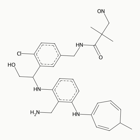 CC1C=CC=C(Nc2cccc(NC(CO)c3cc(CNC(=O)C(C)(C)CN=O)ccc3Cl)c2CN)C=C1